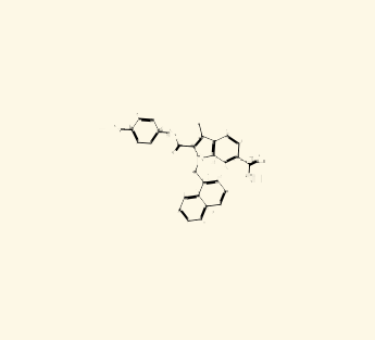 Cc1c(C(=O)Nc2ccc(N)cc2)n(Cc2cccc3ccccc23)c2cc(C(=N)N)ccc12